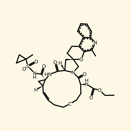 CCOC(=O)N[C@H]1CCCCC/C=C\[C@@H]2C[C@@]2(C(=O)NS(=O)(=O)C2(C)CC2)NC(=O)[C@@H]2C[C@]3(CCc4c(c(C)nc5ccccc45)O3)CN2C1=O